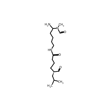 CC(C)C[C@H](C=O)CCCC(=O)NCCCCC(N)N(C)C=O